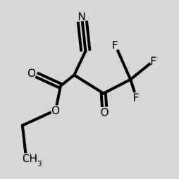 CCOC(=O)C(C#N)C(=O)C(F)(F)F